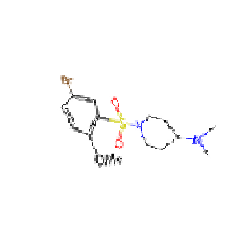 COc1ccc(Br)cc1S(=O)(=O)N1CCC(N(C)C)CC1